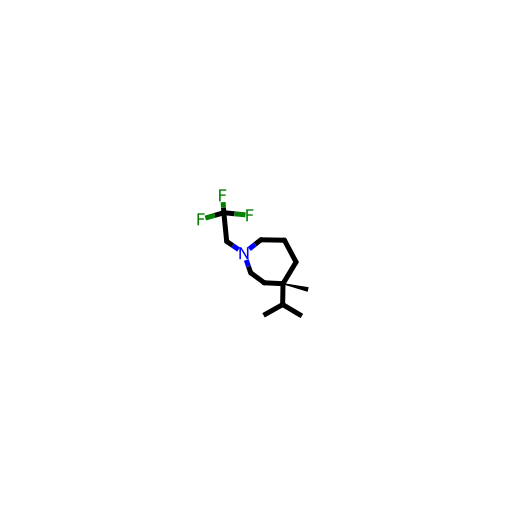 CC(C)[C@@]1(C)CCCN(CC(F)(F)F)CC1